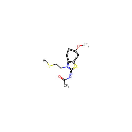 CC(=O)SCCn1/c(=N\C(=O)C(F)(F)F)sc2cc(OC(F)(F)F)ccc21